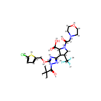 CC(C)(C)C(=O)n1nc(C2C(C(=O)O)N(C(=O)CN3CCOCC3)CC2C(F)(F)F)nc1OCc1ccc(Cl)s1